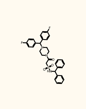 O=C(CS(=O)(=O)NC(c1ccccc1)c1ccccc1)N1CCN(C(c2ccc(F)cc2)c2ccc(F)cc2)CC1